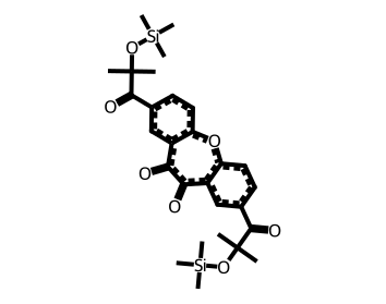 CC(C)(O[Si](C)(C)C)C(=O)c1ccc2oc3ccc(C(=O)C(C)(C)O[Si](C)(C)C)cc3c(=O)c(=O)c2c1